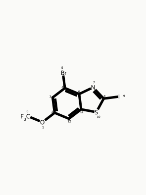 FC(F)(F)Oc1cc(Br)c2nc(I)sc2c1